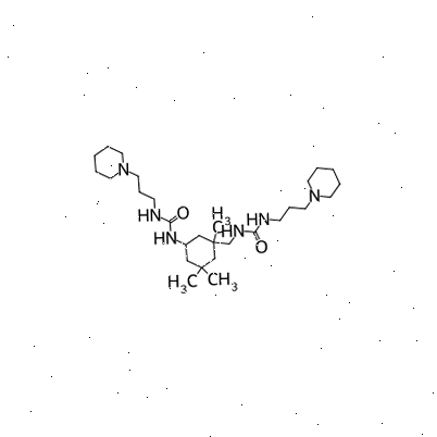 CC1(C)CC(NC(=O)NCCCN2CCCCC2)CC(C)(CNC(=O)NCCCN2CCCCC2)C1